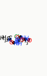 CCN(CC)CCOc1ccc(Nc2ncc3c(C)n(-c4cc(NC(=O)c5ccc(N6CCOCC6)cc5)ccc4Cl)c(=O)nc3n2)cc1